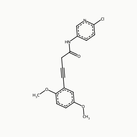 COc1ccc(OC)c(C#CCC(=O)Nc2ccc(Cl)nc2)c1